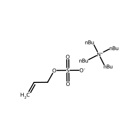 C=CCOS(=O)(=O)[O-].CCCC[N+](CCCC)(CCCC)CCCC